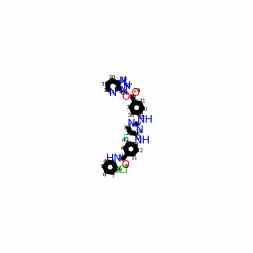 O=C(Nc1ccccc1Cl)c1ccc(Nc2nc(Nc3ccc(C(=O)On4nnc5cccnc54)cc3)ncc2F)cc1